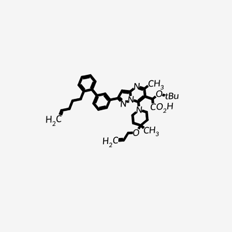 C=CCCCc1ccccc1-c1cccc(-c2cc3nc(C)c(C(OC(C)(C)C)C(=O)O)c(N4CCC(C)(OCC=C)CC4)n3n2)c1